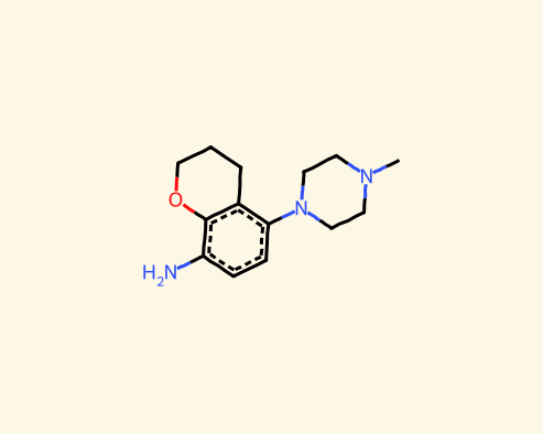 CN1CCN(c2ccc(N)c3c2CCCO3)CC1